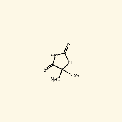 COC1(OC)NC(=O)NC1=O